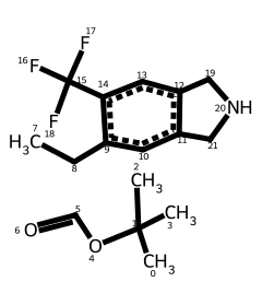 CC(C)(C)OC=O.CCc1cc2c(cc1C(F)(F)F)CNC2